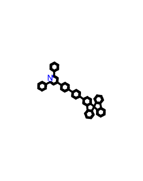 c1ccc(-c2cc(-c3ccc(-c4ccc(-c5ccc6c(c5)-c5ccccc5C65c6ccccc6-c6ccccc65)cc4)cc3)cc(-c3ccccc3)n2)cc1